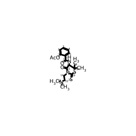 CC(=O)Oc1ccccc1C(=O)NC1C(=O)N(CCN(C)C)C(=S)SC1(C)C